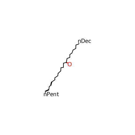 CCCCC/C=C/C/C=C/CCCCCCCCC(=O)CCCCCCCCCCCCCCCCCC